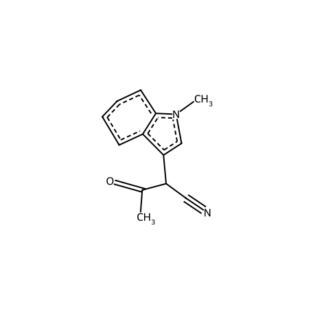 CC(=O)C(C#N)c1cn(C)c2ccccc12